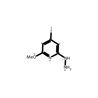 COc1cc(I)cc(NN)n1